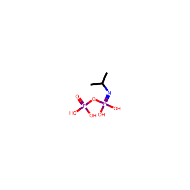 CC(C)N=P(O)(O)OP(=O)(O)O